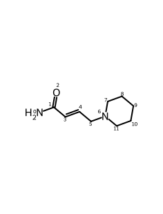 NC(=O)/C=C/CN1CCCCC1